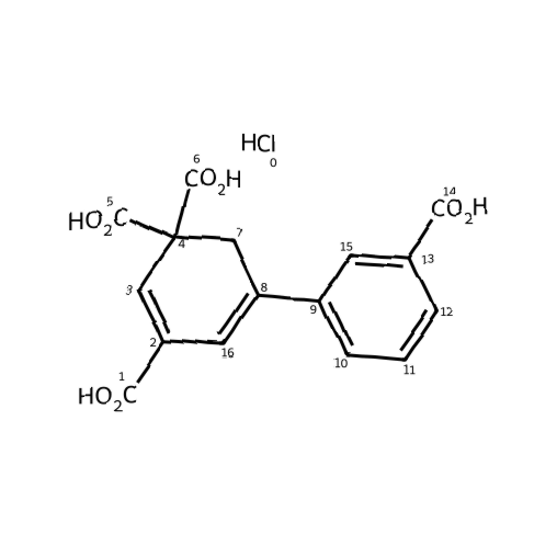 Cl.O=C(O)C1=CC(C(=O)O)(C(=O)O)CC(c2cccc(C(=O)O)c2)=C1